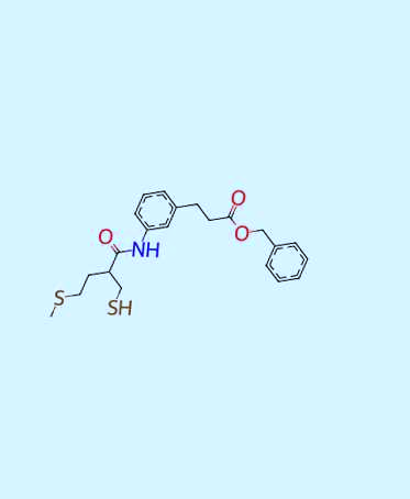 CSCCC(CS)C(=O)Nc1cccc(CCC(=O)OCc2ccccc2)c1